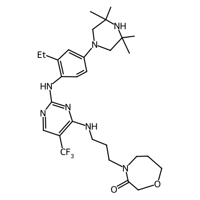 CCc1cc(N2CC(C)(C)NC(C)(C)C2)ccc1Nc1ncc(C(F)(F)F)c(NCCCN2CCCOCC2=O)n1